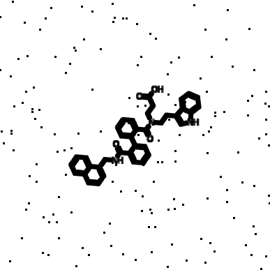 O=C(O)CCN(CCc1c[nH]c2ccccc12)C(=O)c1ccccc1-c1ccccc1C(=O)NCc1cccc2ccccc12